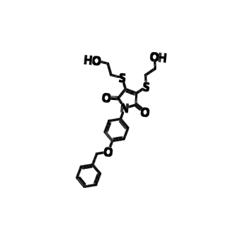 O=C1C(SCCO)=C(SCCO)C(=O)N1c1ccc(OCc2ccccc2)cc1